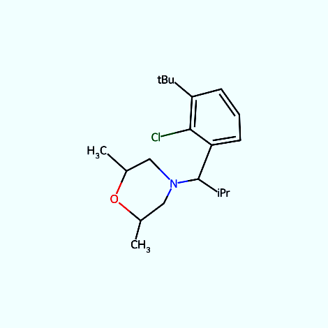 CC1CN(C(c2cccc(C(C)(C)C)c2Cl)C(C)C)CC(C)O1